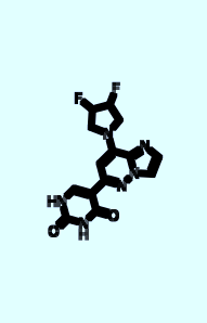 O=c1[nH]cc(-c2cc(N3CC(F)C(F)C3)c3nccn3n2)c(=O)[nH]1